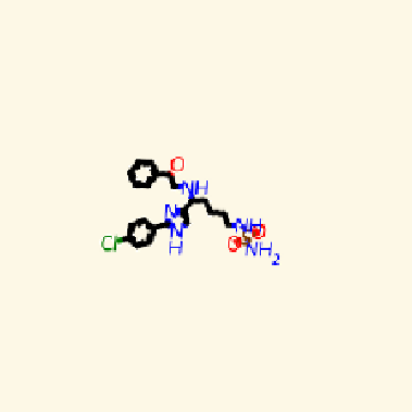 NS(=O)(=O)NCCCCC(NCC(=O)c1ccccc1)c1c[nH]c(-c2ccc(Cl)cc2)n1